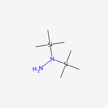 C[Si](C)(C)N(N)[Si](C)(C)C